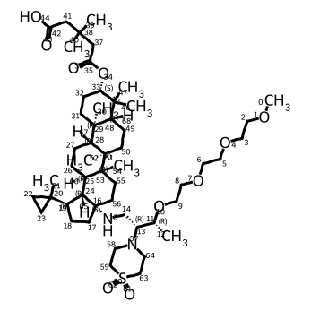 COCCOCCOCCO[C@H](C)[C@@H](CN[C@]12CC[C@@H](C3(C)CC3)[C@@H]1[C@H]1CC[C@@H]3[C@@]4(C)CC[C@H](OC(=O)CC(C)(C)CC(=O)O)C(C)(C)[C@@H]4CC[C@@]3(C)[C@]1(C)CC2)N1CCS(=O)(=O)CC1